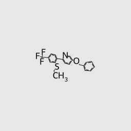 CCSc1cc(C(F)(F)F)ccc1-c1ccc(OCc2ccccc2)cn1